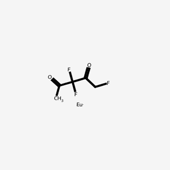 CC(=O)C(F)(F)C(=O)CF.[Eu]